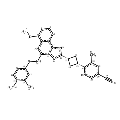 COc1cccc2c1nc(NCc1ccc(C)c(C)c1)n1nc([C@H]3C[C@@H](c4ncc(C#N)cc4C)C3)nc21